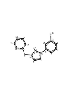 Fc1cccc(-n2[c]cc(Cc3ccccc3)n2)c1